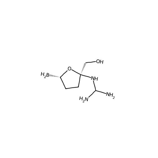 B[C@H]1CC[C@](CO)(NC(N)N)O1